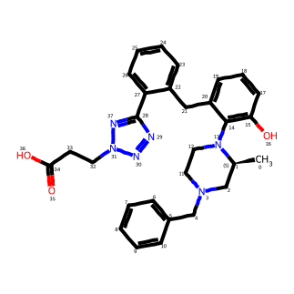 C[C@H]1CN(Cc2ccccc2)CCN1c1c(O)cccc1Cc1ccccc1-c1nnn(CCC(=O)O)n1